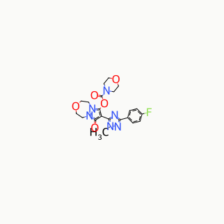 Cn1nc(-c2ccc(F)cc2)nc1-c1c(OC(=O)N2CCOCC2)n2n(c1=O)CCOCC2